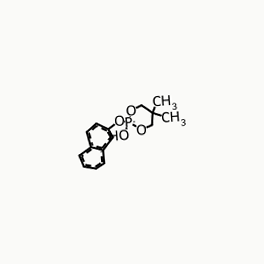 CC1(C)CO[P](O)(Oc2ccc3ccccc3c2)OC1